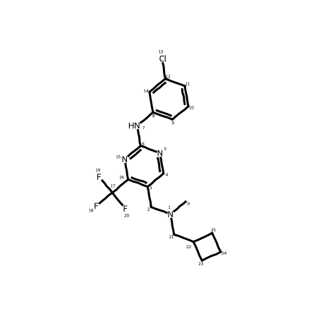 CN(Cc1cnc(Nc2cccc(Cl)c2)nc1C(F)(F)F)CC1CCC1